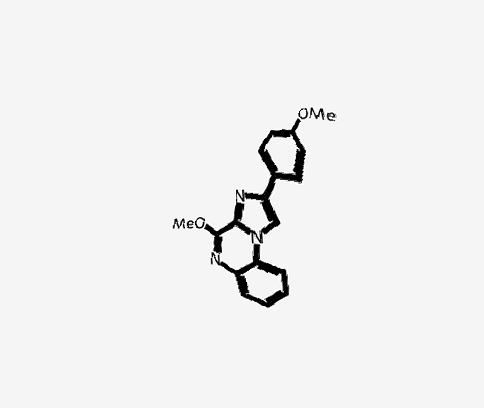 COc1ccc(-c2cn3c(n2)c(OC)nc2ccccc23)cc1